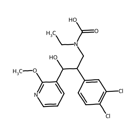 CCN(CC(c1ccc(Cl)c(Cl)c1)C(O)c1cccnc1OC)C(=O)O